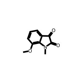 COc1cccc2c1N(C)C(=O)C2=O